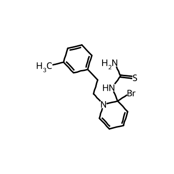 Cc1cccc(CCN2C=CC=CC2(Br)NC(N)=S)c1